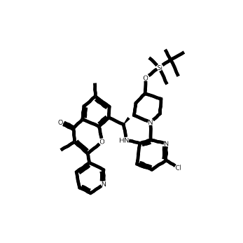 Cc1cc([C@@H](C)Nc2ccc(Cl)nc2N2CCC(O[Si](C)(C)C(C)(C)C)CC2)c2oc(-c3cccnc3)c(C)c(=O)c2c1